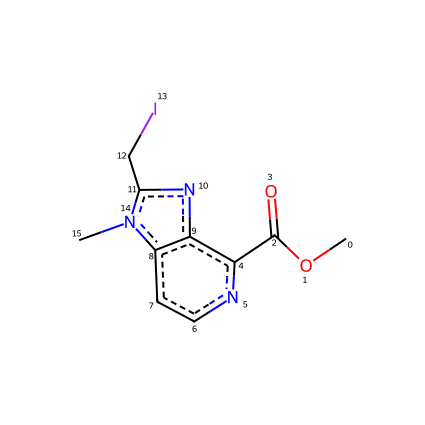 COC(=O)c1nccc2c1nc(CI)n2C